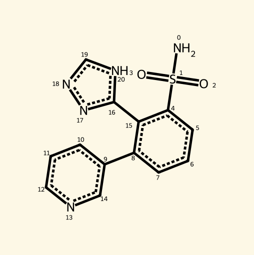 NS(=O)(=O)c1cccc(-c2cccnc2)c1-c1nnc[nH]1